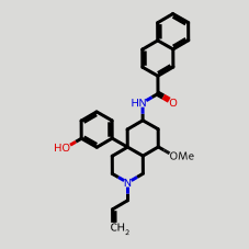 C=CCN1CCC2(c3cccc(O)c3)CC(NC(=O)c3ccc4ccccc4c3)CC(OC)C2C1